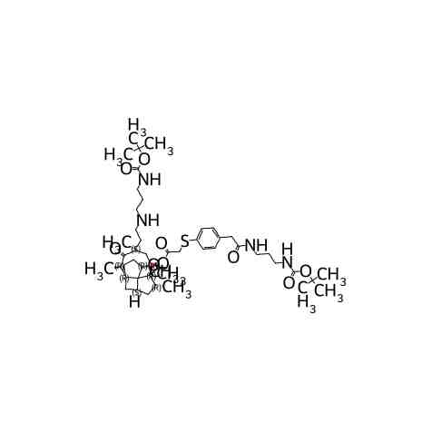 CO[C@@H]1CC[C@@]23C[C@@H]4C[C@@H](C)[C@@](C)([C@H](OC(=O)CSc5ccc(CC(=O)NCCCNC(=O)OC(C)(C)C)cc5)C[C@](C)(CCNCCCNC(=O)OC(C)(C)C)C(=O)[C@@H]2C)C413